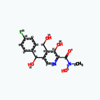 CN(O)C(=O)c1ncc(C(O)c2ccc(F)cc2)c(CO)c1O